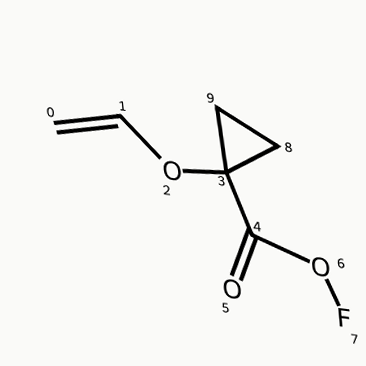 C=COC1(C(=O)OF)CC1